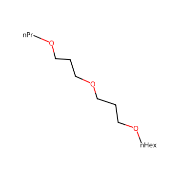 [CH2]CCOCCCOCCCOCCCCCC